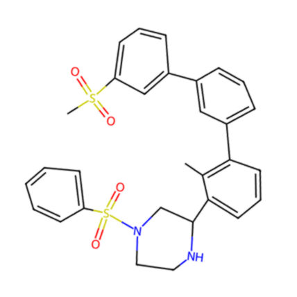 Cc1c(-c2cccc(-c3cccc(S(C)(=O)=O)c3)c2)cccc1C1CN(S(=O)(=O)c2ccccc2)CCN1